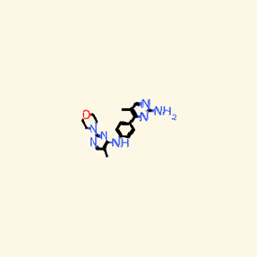 Cc1cnc(N2CCOCC2)nc1Nc1ccc(-c2nc(N)ncc2C)cc1